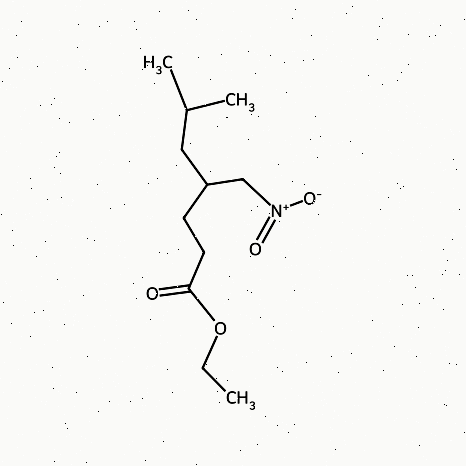 CCOC(=O)CCC(CC(C)C)C[N+](=O)[O-]